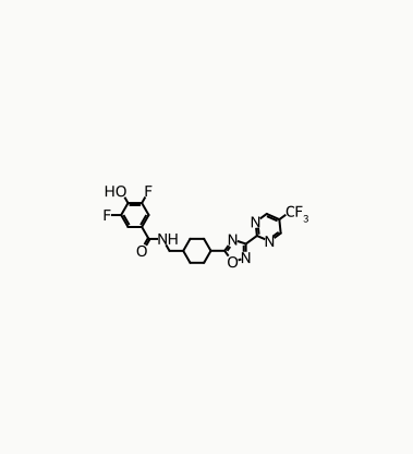 O=C(NCC1CCC(c2nc(-c3ncc(C(F)(F)F)cn3)no2)CC1)c1cc(F)c(O)c(F)c1